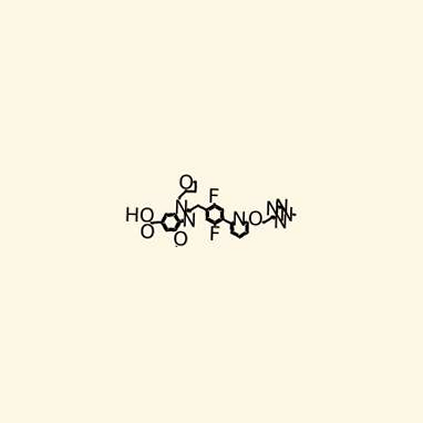 COc1cc(C(=O)O)cc2c1nc(Cc1cc(F)c(-c3cccc(OCc4nnn(C)n4)n3)cc1F)n2CC1CCO1